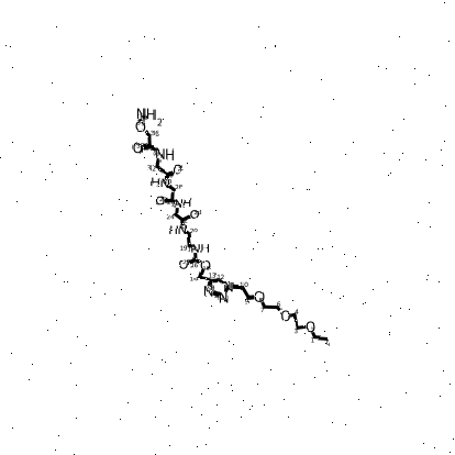 CCOCCOCCOCCn1cc(COC(=O)NCCNC(=O)CNC(=O)CNC(=O)CNC(=O)CON)nn1